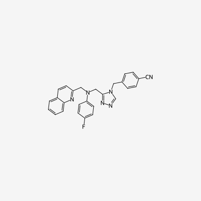 N#Cc1ccc(Cn2cnnc2CN(Cc2ccc3ccccc3n2)c2ccc(F)cc2)cc1